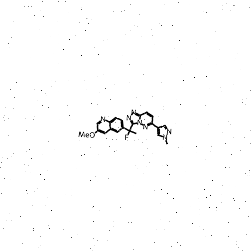 COc1cnc2ccc(C(C)(F)c3nnc4ccc(-c5cnn(C)c5)nn34)cc2c1